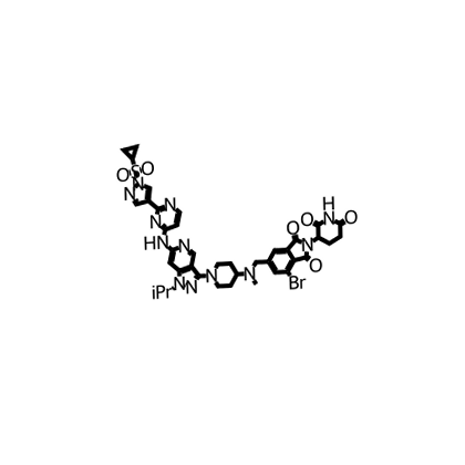 CC(C)n1nc(N2CCC(N(C)Cc3cc(Br)c4c(c3)C(=O)N(C3CCC(=O)NC3=O)C4=O)CC2)c2cnc(Nc3ccnc(-c4cnn(S(=O)(=O)C5CC5)c4)n3)cc21